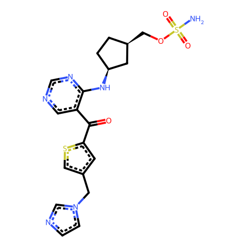 NS(=O)(=O)OC[C@@H]1CC[C@H](Nc2ncncc2C(=O)c2cc(Cn3ccnc3)cs2)C1